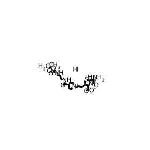 CC(C)(C)OC(=O)NCCCNC(=O)c1cc[n+](CC=CC2=C(C(=O)[O-])N3C(=O)[C@@H](N)[C@H]3SC2)cc1.I